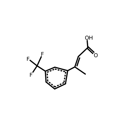 CC(=CC(=O)O)c1cccc(C(F)(F)F)c1